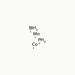 P.[BiH3].[Co].[Mn]